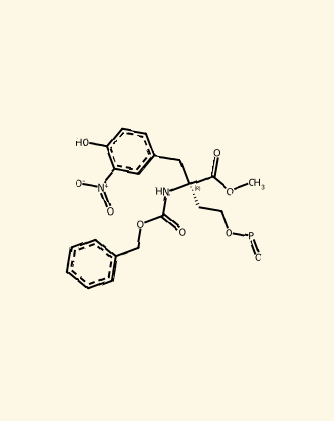 COC(=O)[C@](CCOP=O)(Cc1ccc(O)c([N+](=O)[O-])c1)NC(=O)OCc1ccccc1